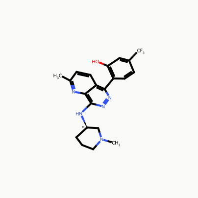 Cc1ccc2c(-c3ccc(C(F)(F)F)cc3O)nnc(N[C@@H]3CCCN(C)C3)c2n1